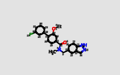 CCOc1cc(C(=O)N(C)Cc2ccc3[nH]ncc3c2)ccc1-c1cccc(F)c1